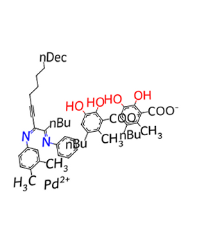 CCCCCCCCCCCCCCC#CC(=Nc1ccc(C)c(C)c1)C(CCCC)=Nc1ccccc1.CCCCc1cc(O)c(O)c(C(=O)[O-])c1C.CCCCc1cc(O)c(O)c(C(=O)[O-])c1C.[Pd+2]